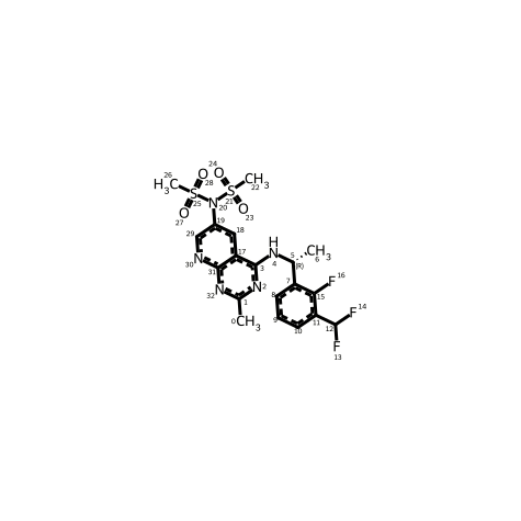 Cc1nc(N[C@H](C)c2cccc(C(F)F)c2F)c2cc(N(S(C)(=O)=O)S(C)(=O)=O)cnc2n1